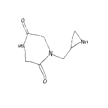 O=C1CN(CC2CN2)C(=O)CN1